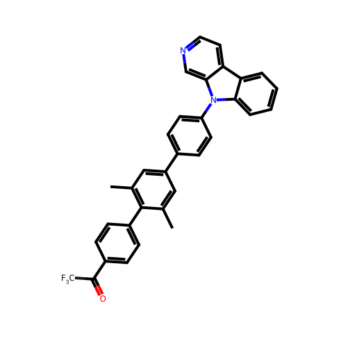 Cc1cc(-c2ccc(-n3c4ccccc4c4ccncc43)cc2)cc(C)c1-c1ccc(C(=O)C(F)(F)F)cc1